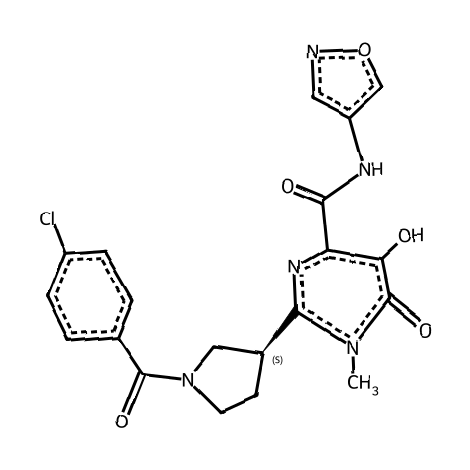 Cn1c([C@H]2CCN(C(=O)c3ccc(Cl)cc3)C2)nc(C(=O)Nc2cnoc2)c(O)c1=O